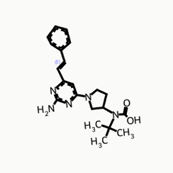 CC(C)(C)N(C(=O)O)C1CCN(c2cc(/C=C/c3ccccc3)nc(N)n2)C1